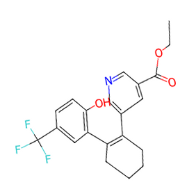 CCOC(=O)c1cncc(C2=C(c3cc(C(F)(F)F)ccc3O)CCCC2)c1